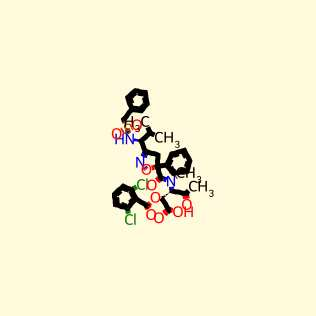 CC(=O)[C@H](C(OC(=O)c1c(Cl)cccc1Cl)C(=O)O)N(C)C(=O)C1(c2ccccc2)CC([C@@H](NS(=O)(=O)Cc2ccccc2)C(C)C)=NO1